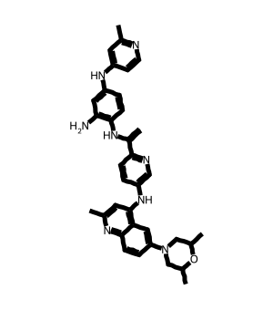 C=C(Nc1ccc(Nc2ccnc(C)c2)cc1N)c1ccc(Nc2cc(C)nc3ccc(N4CC(C)OC(C)C4)cc23)cn1